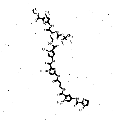 CCOC(=O)c1nc(NC(=O)[C@@H](CCNC(=O)c2cc(NC(=O)c3nc(NC(=O)CCNC(=O)c4cc(NC(=O)c5nccn5C)cn4C)cn3C)cn2C)NC(=O)OC(C)(C)C)cn1C